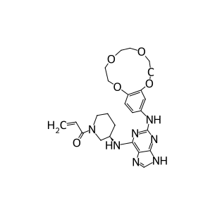 C=CC(=O)N1CCC[C@@H](Nc2nc(Nc3ccc4c(c3)OCCOCCOCCO4)nc3[nH]cnc23)C1